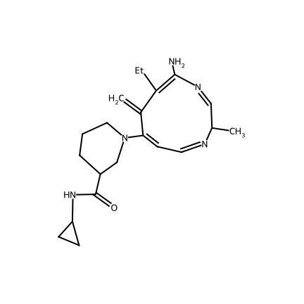 C=C1/C(CC)=C(N)\N=C/C(C)/N=C\C=C/1N1CCCC(C(=O)NC2CC2)C1